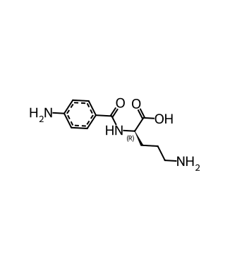 NCCC[C@@H](NC(=O)c1ccc(N)cc1)C(=O)O